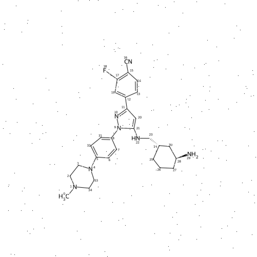 CN1CCN(c2ccc(-n3nc(-c4ccc(C#N)c(F)c4)cc3NC[C@H]3CCC[C@H](N)C3)cc2)CC1